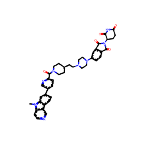 Cn1c2ccncc2c2ccc(-c3ccc(C(=O)N4CCC(CCN5CCN(c6ccc7c(c6)C(=O)N(C6CCC(=O)NC6=O)C7=O)CC5)CC4)nc3)cc21